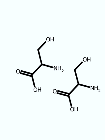 NC(CO)C(=O)O.NC(CO)C(=O)O